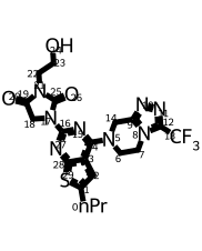 CCCc1cc2c(N3CCn4c(nnc4C(F)(F)F)C3)nc(N3CC(=O)N(CCO)C3=O)nc2s1